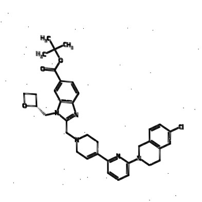 CC(C)(C)OC(=O)c1ccc2nc(CN3CC=C(c4cccc(N5CCc6cc(Cl)ccc6C5)n4)CC3)n(C[C@H]3CCO3)c2c1